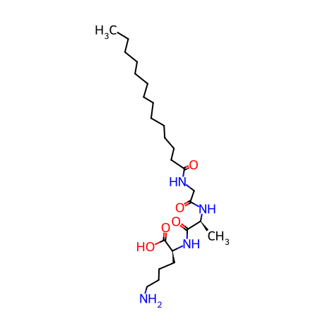 CCCCCCCCCCCCCC(=O)NCC(=O)N[C@@H](C)C(=O)N[C@@H](CCCCN)C(=O)O